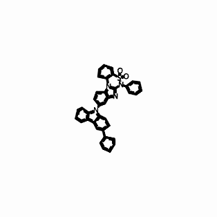 O=S1(=O)c2ccccc2-n2c(nc3cc(-n4c5ccccc5c5cc(-c6ccccc6)ccc54)ccc32)N1c1ccccc1